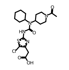 CC(=O)N1CCC(N(C(=O)Nc2nc(CC(=O)O)c(Cl)s2)C2CCCCC2)CC1